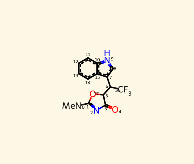 CNC1=NC(=O)C(C(c2c[nH]c3ccccc23)C(F)(F)F)O1